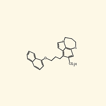 O=C(O)c1cc2c3c(ccn3CCCS2)c1CCCOc1cccc2ccccc12